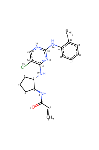 C=CC(=O)N[C@H]1CCC[C@@H]1Nc1nc(Nc2ccccc2C)ncc1Cl